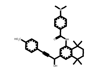 CN(C)c1ccc(C(=O)Nc2cc(C(O)C#Cc3ccc(C(=O)O)cc3)cc3c2C(C)(C)CCC3(C)C)cc1